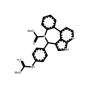 C=C(Nc1ccc(C2c3c[nH]c4nccc(c34)-c3ccccc3N2C(=O)OC)cc1)OC